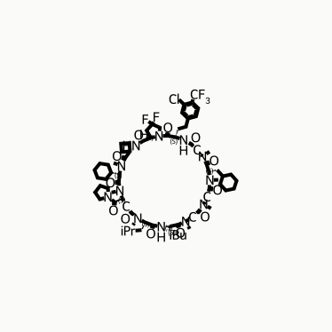 CC[C@H](C)[C@@H]1NC(=O)[C@H](CC(C)C)N(C)C(=O)C[C@@H](C(=O)N2CCCC2)N(C)C(=O)[C@H](C2CCCCC2)N(C)C(=O)C2(CCC2)NC(=O)[C@@H]2CC(F)(F)CN2C(=O)[C@H](CCc2ccc(C(F)(F)F)c(Cl)c2)NC(=O)CN(C)C(=O)[C@H](CC2CCCCC2)N(C)C(=O)CN(C)C(=O)CN(C)C1=O